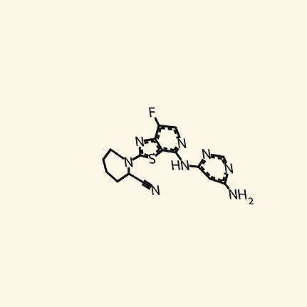 N#CC1CCCCN1c1nc2c(F)cnc(Nc3cc(N)ncn3)c2s1